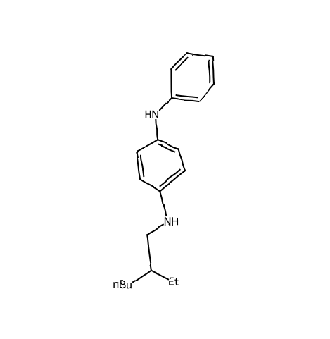 CCCCC(CC)CNc1ccc(Nc2ccccc2)cc1